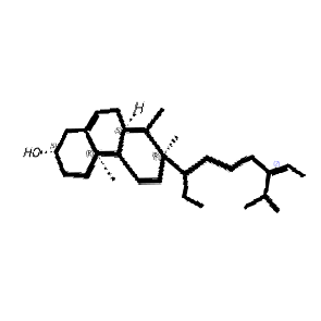 C/C=C(/CCCC(CC)[C@@]1(C)CCC2[C@@H](CC=C3C[C@@H](O)CC[C@@]32C)C1C)C(C)C